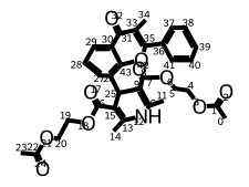 CC(=O)OCCOC(=O)C1=C(C)NC(C)=C(C(=O)OCCOC(C)=O)C1c1cccc2c(=O)c(C)c(-c3ccccc3)oc12